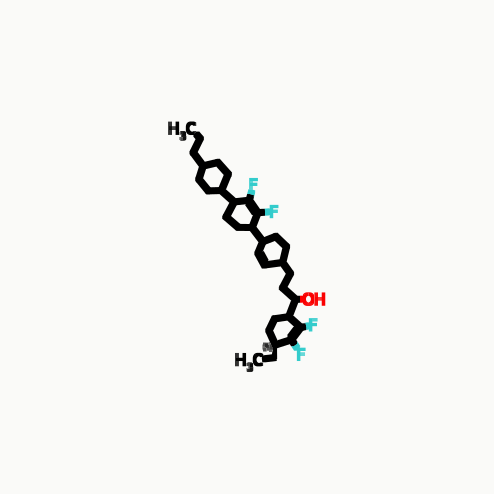 CCCC1CCC(C2CCC(C3C=CC(CCC(O)C4CC[C@H](CC)C(F)=C4F)CC3)C(F)=C2F)CC1